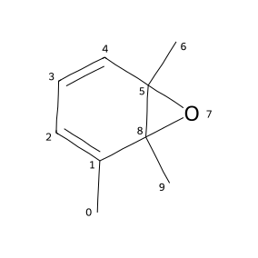 CC1=CC=CC2(C)OC12C